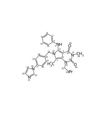 Cc1c2c(c(Nc3ccccc3)n1Cc1ccc(-n3ccnc3)cc1)c(=O)n(C)c(=O)n2CC(C)C